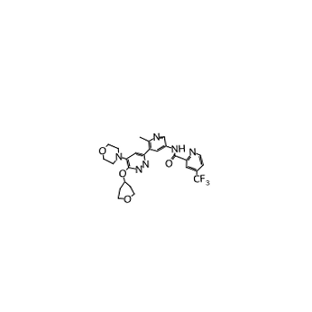 Cc1ncc(NC(=O)c2cc(C(F)(F)F)ccn2)cc1-c1cc(N2CCOCC2)c(OC2CCOCC2)nn1